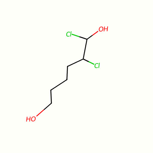 OCCCCC(Cl)C(O)Cl